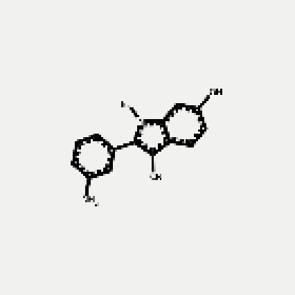 CCn1c(-c2cccc(N)c2)c(C#N)c2ccc(O)cc21